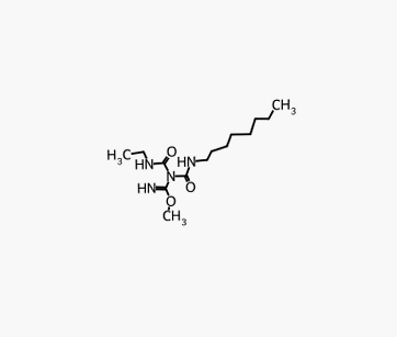 CCCCCCCCNC(=O)N(C(=N)OC)C(=O)NCC